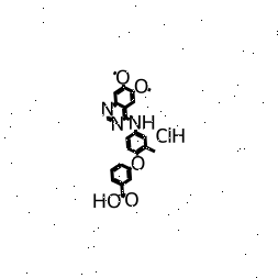 COc1cc2ncnc(Nc3ccc(Oc4cccc(C(=O)O)c4)c(C)c3)c2cc1OC.Cl